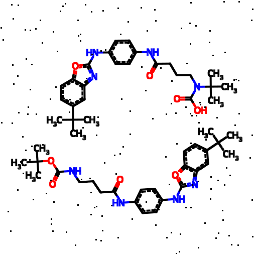 CC(C)(C)OC(=O)NCCCC(=O)Nc1ccc(Nc2nc3cc(C(C)(C)C)ccc3o2)cc1.CC(C)(C)c1ccc2oc(Nc3ccc(NC(=O)CCCN(C(=O)O)C(C)(C)C)cc3)nc2c1